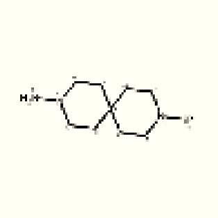 CC(C)N1CCC2(CCN(N)CC2)CC1